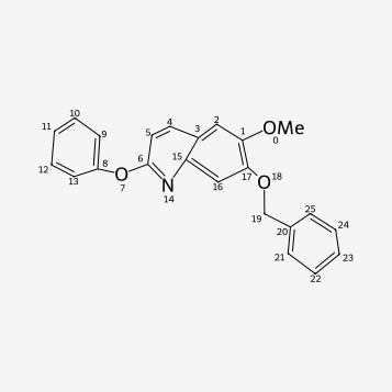 COc1cc2ccc(Oc3ccccc3)nc2cc1OCc1ccccc1